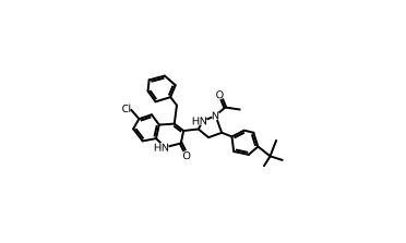 CC(=O)N1NC(c2c(Cc3ccccc3)c3cc(Cl)ccc3[nH]c2=O)CC1c1ccc(C(C)(C)C)cc1